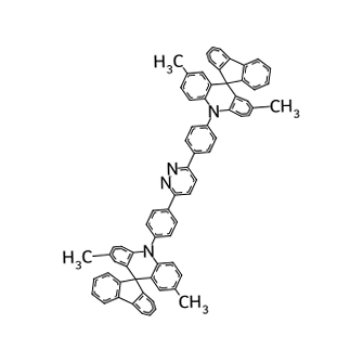 Cc1ccc2c(c1)C1(c3ccccc3-c3ccccc31)c1cc(C)ccc1N2c1ccc(-c2ccc(-c3ccc(N4c5ccc(C)cc5C5(c6ccccc6-c6ccccc65)c5cc(C)ccc54)cc3)nn2)cc1